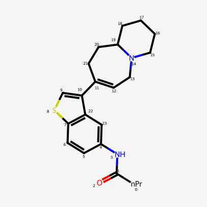 CCCC(=O)Nc1ccc2scc(C3=CCN4CCCCC4CC3)c2c1